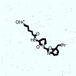 CC(C)Cc1cccc2nc(Cn3cccc(NC(=O)CCC/C=C/C=O)c3=O)oc12